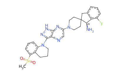 CS(=O)(=O)c1cccc2c1CCCN2c1n[nH]c2nc(N3CCC4(CC3)Cc3cccc(F)c3[C@H]4N)cnc12